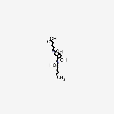 CCCCC[C@H](O)/C=C/C1C2C/C(=C/CCCC(=O)O)O[C@H]2C[C@H]1O